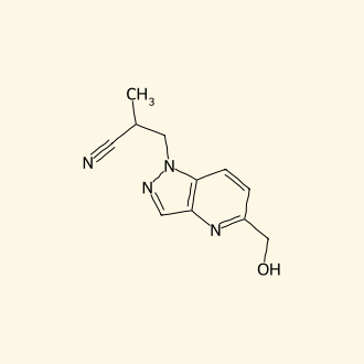 CC(C#N)Cn1ncc2nc(CO)ccc21